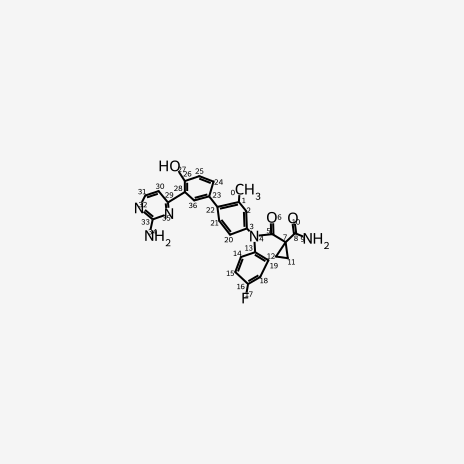 Cc1cc(N(C(=O)C2(C(N)=O)CC2)c2ccc(F)cc2)ccc1-c1ccc(O)c(-c2ccnc(N)n2)c1